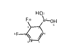 OB(O)C1C=CN=C(F)C1F